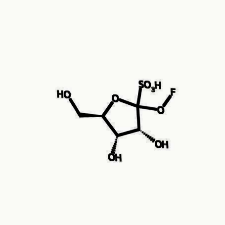 O=S(=O)(O)C1(OF)O[C@H](CO)[C@@H](O)[C@H]1O